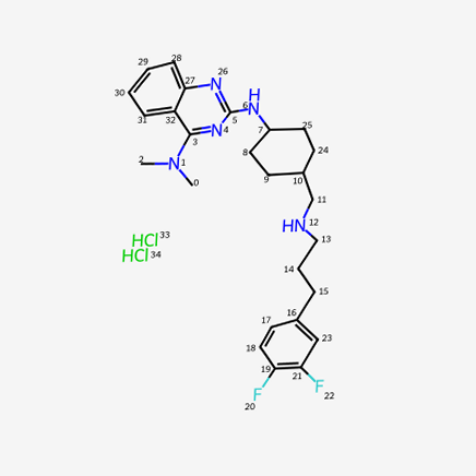 CN(C)c1nc(NC2CCC(CNCCCc3ccc(F)c(F)c3)CC2)nc2ccccc12.Cl.Cl